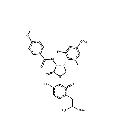 COc1cc(F)c([C@@H]2CN(c3c(C)ccn(CC(OC)C(F)(F)F)c3=O)C(=O)[C@H]2NC(=O)c2ccc(OC(F)(F)F)cc2)c(F)c1